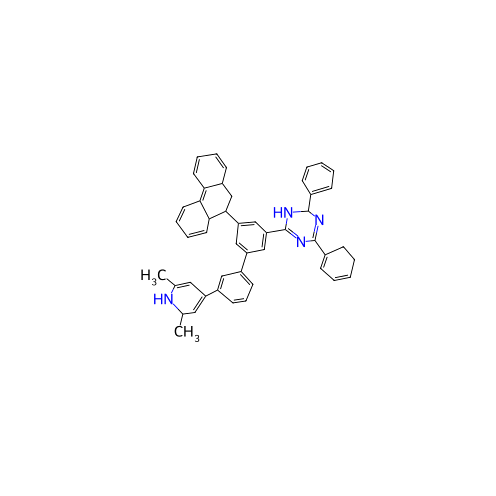 CC1=CC(c2cccc(-c3cc(C4=NC(C5=CC=CCC5)=NC(c5ccccc5)N4)cc(C4CC5C=CC=CC5=C5C=CC=CC54)c3)c2)=CC(C)N1